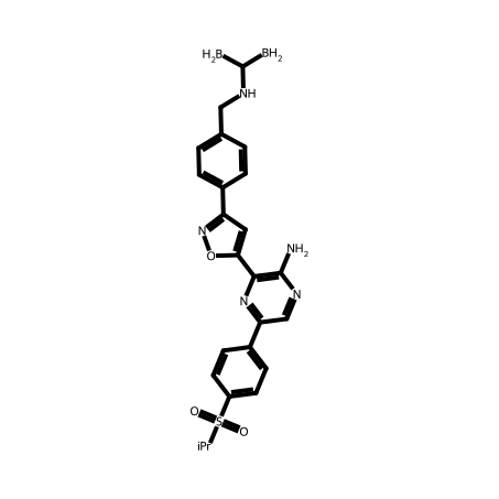 BC(B)NCc1ccc(-c2cc(-c3nc(-c4ccc(S(=O)(=O)C(C)C)cc4)cnc3N)on2)cc1